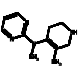 NC1=C(N(N)c2ncccn2)CCNC1